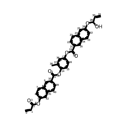 C=CC(=O)Oc1ccc2cc(C(=O)Oc3ccc(OC(=O)c4ccc5cc(OC(O)C=C)ccc5c4)cc3C)ccc2c1